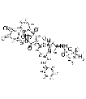 CC(C)(C)OC(=O)N[C@@H]1C[C@H]2C(=O)N([C@H](CS(=O)(=O)c3ccccc3O)C(=O)NCc3ccc(Cl)c(Cl)c3)CCC(CCc3ccccc3)N2C1